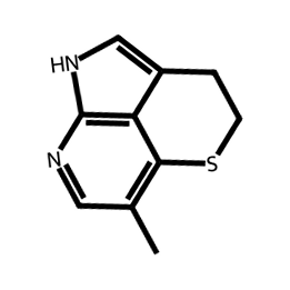 Cc1cnc2[nH]cc3c2c1SCC3